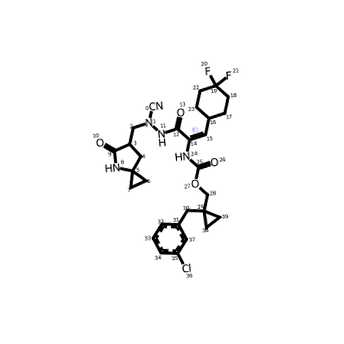 N#CN(CC1CC2(CC2)NC1=O)NC(=O)/C(=C\C1CCC(F)(F)CC1)NC(=O)OCC1(Cc2cccc(Cl)c2)CC1